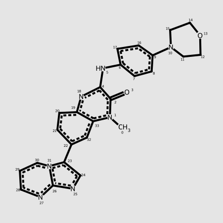 Cn1c(=O)c(Nc2ccc(N3CCOCC3)cc2)nc2ccc(-c3cnc4ncccn34)cc21